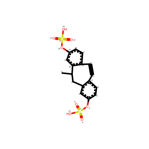 CC1Cc2cc(OS(=O)(=O)O)ccc2C#Cc2ccc(OS(=O)(=O)O)cc21